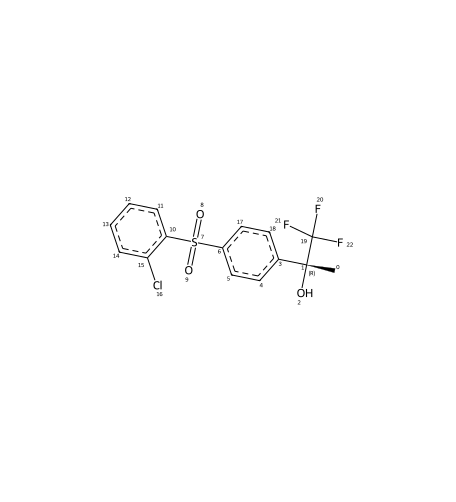 C[C@@](O)(c1ccc(S(=O)(=O)c2ccccc2Cl)cc1)C(F)(F)F